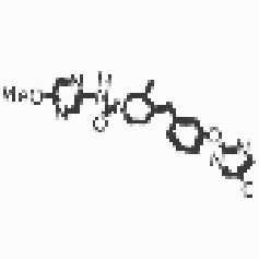 COc1cnc(NC(=O)N2CCC(=Cc3cccc(Oc4ncc(Cl)cn4)c3)C(C)C2)cn1